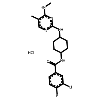 CNc1nc(NC2CCC(NC(=O)c3ccc(F)c(Cl)c3)CC2)ncc1C.Cl